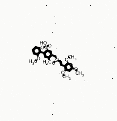 COc1cc(OC)c(C=C[S+]([O-])Cc2cc(S(=O)(=O)O)c(-c3ccccc3OC)cc2C)c(OC)c1